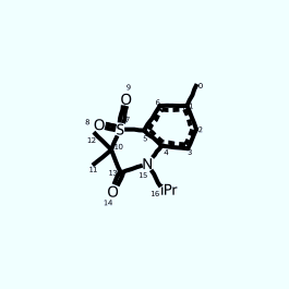 Cc1ccc2c(c1)S(=O)(=O)C(C)(C)C(=O)N2C(C)C